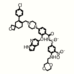 O=C(N[S+]([O-])c1ccc(NCC2COCCO2)c([N+](=O)[O-])c1)c1ccc(N2CCN(CC3=C(c4ccc(Cl)cc4)CC4(CC3)COC4)CC2)cc1Oc1cnc2[nH]ccc2c1